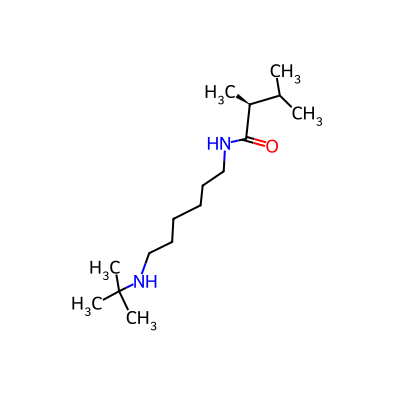 CC(C)[C@H](C)C(=O)NCCCCCCNC(C)(C)C